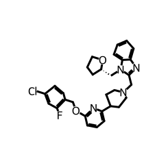 Fc1cc(Cl)ccc1COc1cccc(C2CCN(Cc3nc4ccccc4n3C[C@@H]3CCCO3)CC2)n1